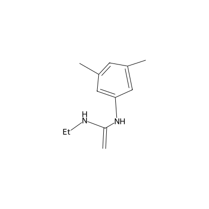 C=C(NCC)Nc1cc(C)cc(C)c1